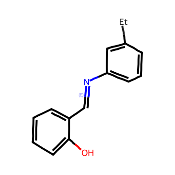 CCc1cccc(/N=C/c2ccccc2O)c1